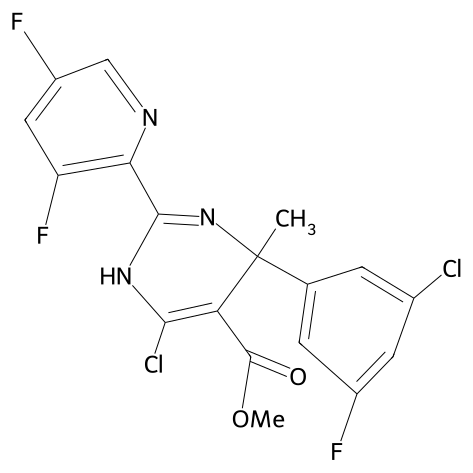 COC(=O)C1=C(Cl)NC(c2ncc(F)cc2F)=NC1(C)c1cc(F)cc(Cl)c1